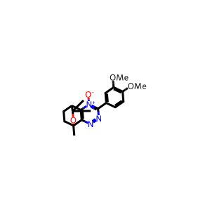 COc1ccc(-c2nnc3c([n+]2[O-])C2CCC3(C)OC2(C)C)cc1OC